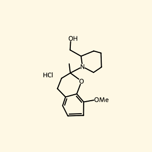 COc1cccc2c1OC(C)(N1CCCCC1CO)CC2.Cl